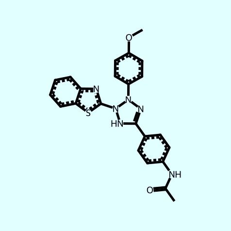 COc1ccc(N2N=C(c3ccc(NC(C)=O)cc3)NN2c2nc3ccccc3s2)cc1